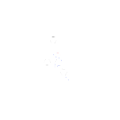 Nc1ccc2c(c1)CCc1nc(NC(=O)CCc3ccccc3)c(-c3ccccc3)nc1-2